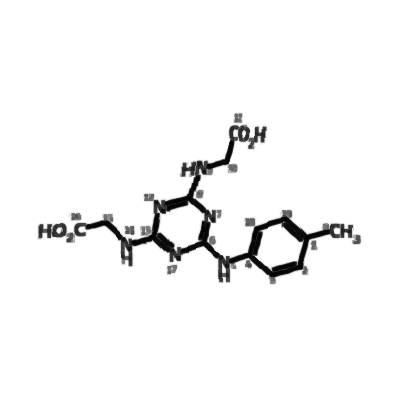 Cc1ccc(Nc2nc(NCC(=O)O)nc(NCC(=O)O)n2)cc1